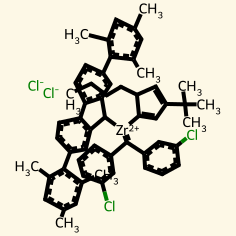 CCCCC1C=C(C(C)(C)C)C=[C]1[Zr+2](=[C](c1cccc(Cl)c1)c1cccc(Cl)c1)[CH]1c2cc(-c3c(C)cc(C)cc3C)ccc2-c2ccc(-c3c(C)cc(C)cc3C)cc21.[Cl-].[Cl-]